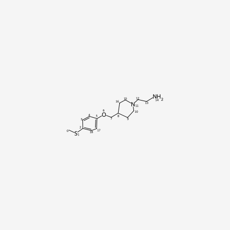 CSc1ccc(OCC2CCN(CCN)CC2)cc1